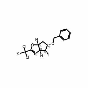 ClC(Cl)(Cl)C1=N[C@H]2[C@H](I)[C@@H](OCc3ccccc3)C[C@H]2O1